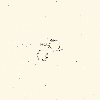 OC1(c2ccccc2)CNCC[N]1